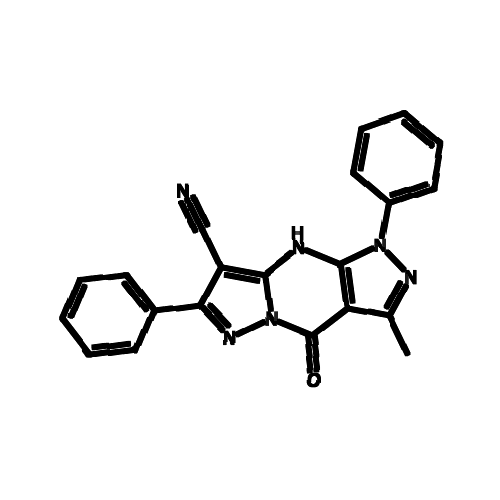 Cc1nn(-c2ccccc2)c2[nH]c3c(C#N)c(-c4ccccc4)nn3c(=O)c12